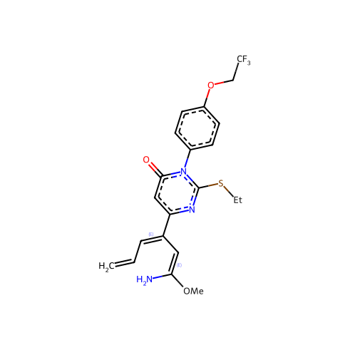 C=C/C=C(\C=C(/N)OC)c1cc(=O)n(-c2ccc(OCC(F)(F)F)cc2)c(SCC)n1